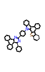 C1=Cc2sc3c(c2CC1)c1ccccc1c1c2ccccc2n(-c2ccc(-c4nc(-c5ccccc5)c5c6ccccc6c6ccccc6c5n4)cc2)c31